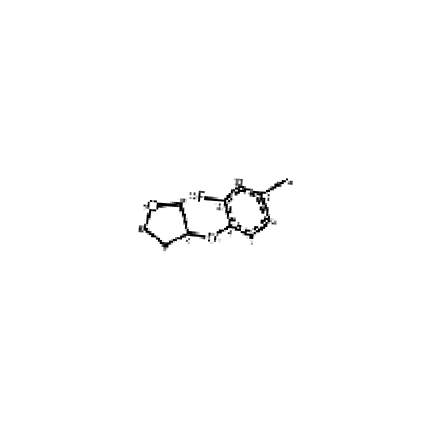 Cc1ccc(OC2CCOC2)c(F)c1